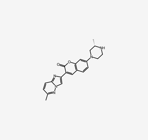 Cc1ccc2nc(-c3cc4ccc(N5CCN[C@@H](C)C5)cc4oc3=O)cn2n1